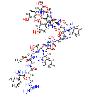 CC[C@H](C)[C@H](N)C(=O)N[C@@H](CCCNC(=N)N)C(=O)NCC(=O)N[C@@H](CCSC)C(=O)N[C@@H](CO)C(=O)N[C@@H](Cc1c[nH]c2ccccc12)C(=O)N[C@@H](CO)C(=O)NCC(=O)N[C@@H](Cc1c[nH]c2ccccc12)C(=O)N[C@@H](CO)C(=O)N[C@@H](C)C(=O)N[C@@H](Cc1ccc(O)cc1)C(=O)N[C@@H](CC(=O)O)C(=O)N[C@@H](Cc1ccc(O)cc1)C(=O)O